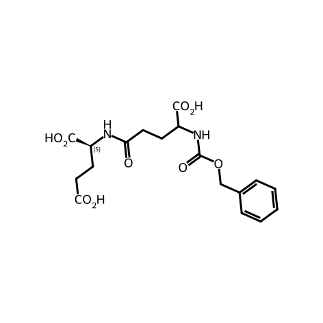 O=C(O)CC[C@H](NC(=O)CCC(NC(=O)OCc1ccccc1)C(=O)O)C(=O)O